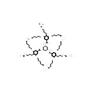 C#CCCCCOc1cc(C(=O)N[C@H]2C[C@@H](NC(=O)c3cc(OCCCCC#C)c(CCCNC(=O)OC(C)(C)C)c(OCCCCC#C)c3)C[C@@H](NC(=O)c3cc(OCCCCC#C)c(CCCNC(=O)OC(C)(C)C)c(OCCCCC#C)c3)C2)cc(OCCCCC#C)c1CCCNC(=O)OC(C)(C)C